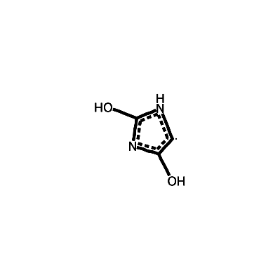 Oc1[c][nH]c(O)n1